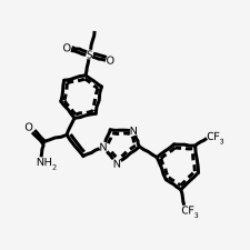 CS(=O)(=O)c1ccc(/C(=C\n2cnc(-c3cc(C(F)(F)F)cc(C(F)(F)F)c3)n2)C(N)=O)cc1